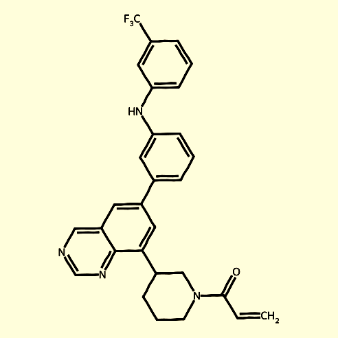 C=CC(=O)N1CCCC(c2cc(-c3cccc(Nc4cccc(C(F)(F)F)c4)c3)cc3cncnc23)C1